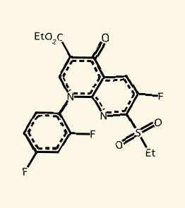 CCOC(=O)c1cn(-c2ccc(F)cc2F)c2nc(S(=O)(=O)CC)c(F)cc2c1=O